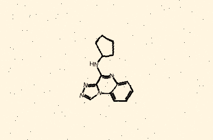 c1ccc2c(c1)nc(NC1CCCC1)c1nncn12